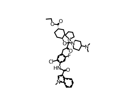 CCOC(=O)[C@H]1CC[C@H](OC(C(=O)Cc2cc(Cl)c(NC(=O)c3cn(C)c4ccccc34)cc2F)(N2CCCC2)N2CCC(N(C)C)CC2)CC1